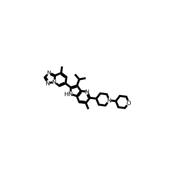 Cc1cc2[nH]c(-c3cc(C)c4ncnn4c3)c(C(C)C)c2nc1C1CCN(C2CCOCC2)CC1